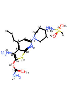 CCCc1cc(N2CCC(NS(C)(=O)=O)CC2)nc2sc(OC(N)=O)c(N)c12